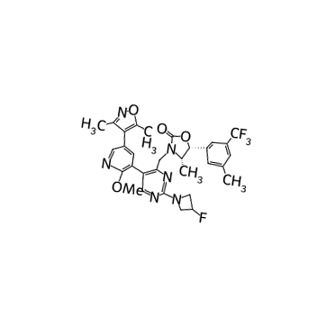 COc1ncc(-c2c(C)noc2C)cc1-c1cnc(N2CC(F)C2)nc1CN1C(=O)O[C@H](c2cc(C)cc(C(F)(F)F)c2)[C@@H]1C